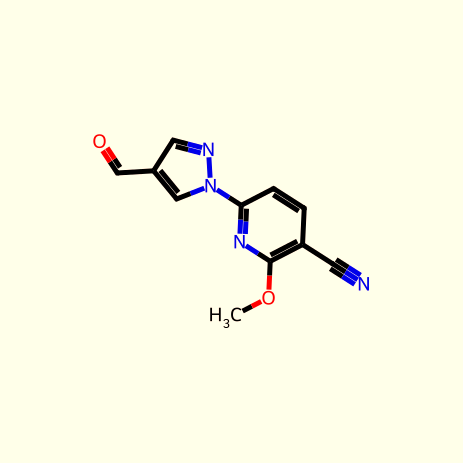 COc1nc(-n2cc(C=O)cn2)ccc1C#N